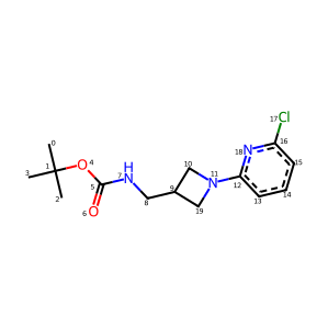 CC(C)(C)OC(=O)NCC1CN(c2cccc(Cl)n2)C1